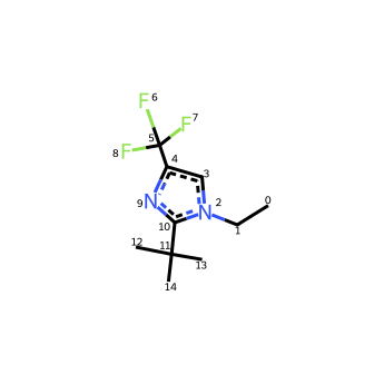 CCn1cc(C(F)(F)F)nc1C(C)(C)C